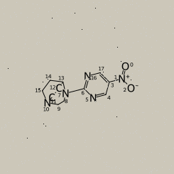 O=[N+]([O-])c1cnc(N2CCN3CCC2CC3)nc1